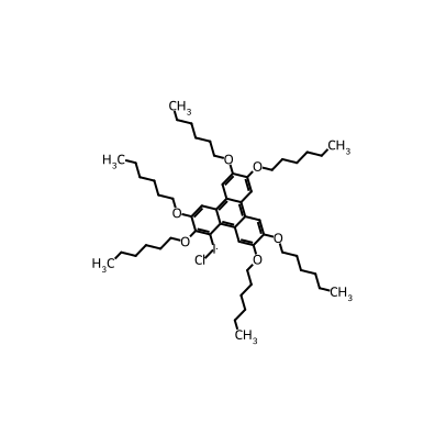 CCCCCCOc1cc2c3cc(OCCCCCC)c(OCCCCCC)cc3c3c([I]Cl)c(OCCCCCC)c(OCCCCCC)cc3c2cc1OCCCCCC